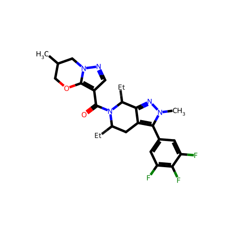 CCC1Cc2c(nn(C)c2-c2cc(F)c(F)c(F)c2)C(CC)N1C(=O)c1cnn2c1OCC(C)C2